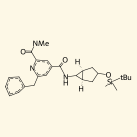 CNC(=O)c1cc(C(=O)NC2[C@H]3CC(O[Si](C)(C)C(C)(C)C)C[C@@H]23)cc(Cc2ccccc2)n1